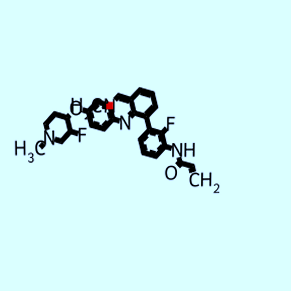 C=CC(=O)Nc1cccc(C2=CC=CC(=C/N=C)/C2=N\c2ccc(OC3CCN(C)CC3F)cc2)c1F